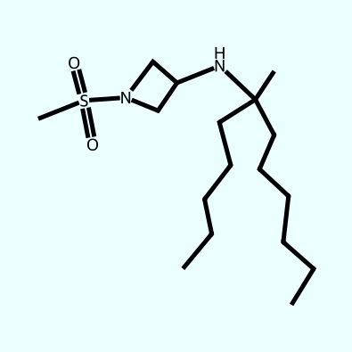 CCCCCCC(C)(CCCCC)NC1CN(S(C)(=O)=O)C1